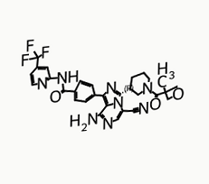 CC1(C(=O)N2CCC[C@@H](c3nc(-c4ccc(C(=O)Nc5cc(C(F)(F)F)ccn5)cc4)c4c(N)ncc(C#N)n34)C2)COC1